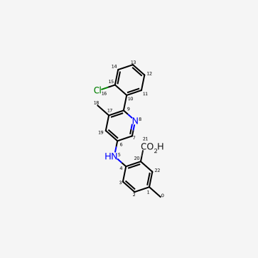 Cc1ccc(Nc2cnc(-c3ccccc3Cl)c(C)c2)c(C(=O)O)c1